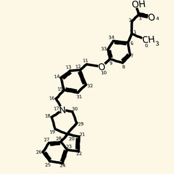 CC(CC(=O)O)c1ccc(OCc2ccc(CN3CCC4(C=Cc5ccccc54)CC3)cc2)cc1